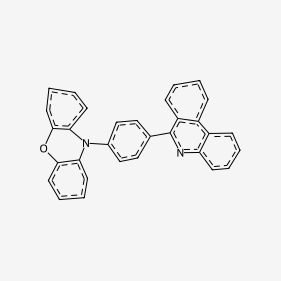 c1ccc2c(c1)Oc1ccccc1N2c1ccc(-c2nc3ccccc3c3ccccc23)cc1